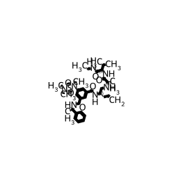 C=CC[C@@H](CN[C@@H](C)C(=O)N[C@H](C(=O)NCC)C(C)C)NC(=O)c1cc(C(=O)N[C@H](C)c2ccccc2)cc(N(C)S(=O)(=O)N(C)C)c1